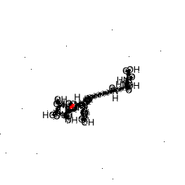 O=C[C@H](CCC(=O)O)NC(=O)N[C@@H](CCCCNC(=O)CCCCCCCCCCN1CCN(c2nc(Nc3ccc(CC4CN(CC(=O)O)CCN(CC(=O)O)CCN(CC(=O)O)CCN4CC(=O)O)cc3)nc(N3CCN(CC(=O)O)CC3)n2)CC1)C(=O)O